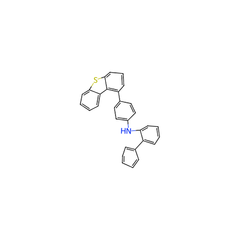 c1ccc(-c2ccccc2Nc2ccc(-c3cccc4sc5ccccc5c34)cc2)cc1